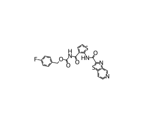 O=C(NC(=O)c1ccsc1NC(=O)c1nc2cnccc2s1)OCc1ccc(F)cc1